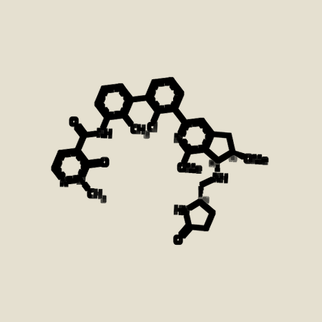 COc1nc(-c2cccc(-c3cccc(NC(=O)c4ccnn(C)c4=O)c3C)c2Cl)cc2c1[C@@H](NC[C@@H]1CCC(=O)N1)[C@H](OC)C2